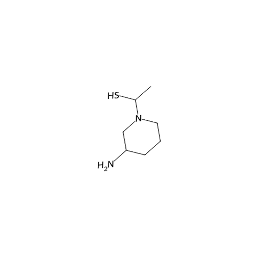 CC(S)N1CCCC(N)C1